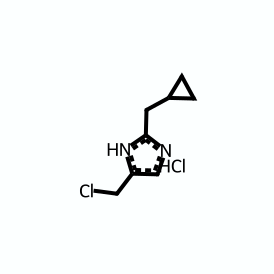 Cl.ClCc1cnc(CC2CC2)[nH]1